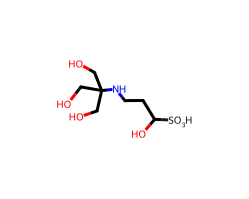 O=S(=O)(O)C(O)CCNC(CO)(CO)CO